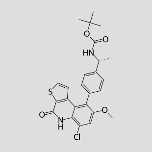 COc1cc(Cl)c2[nH]c(=O)c3sccc3c2c1-c1ccc([C@@H](C)NC(=O)OC(C)(C)C)cc1